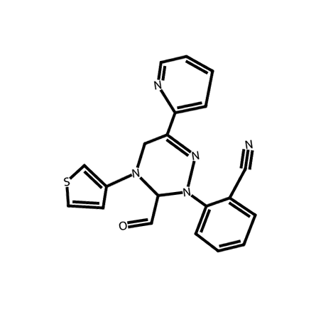 N#Cc1ccccc1N1N=C(c2ccccn2)CN(c2ccsc2)C1C=O